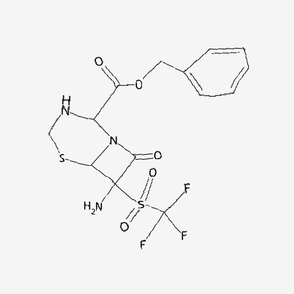 NC1(S(=O)(=O)C(F)(F)F)C(=O)N2C(C(=O)OCc3ccccc3)NCSC21